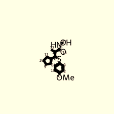 COc1ccc(SC(C2CCCC2)C(C)C(=O)NO)cc1